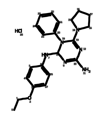 CCOc1ccc(NC2N=C(N)N=C(N3CCCC3)N2c2ccccc2)cc1.Cl